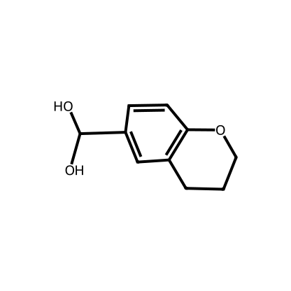 OC(O)c1ccc2c(c1)CCCO2